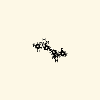 O=C1NCN(Cc2c(F)cc(F)cc2F)c2ccc(SSc3ccc4c(c3)C(=O)NCN4Cc3c(F)cc(F)cc3F)cc21